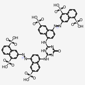 O=c1nc(Nc2ccc(/N=N/c3cc(S(=O)(=O)O)c4cccc(S(=O)(=O)O)c4c3)c3cc(S(=O)(=O)O)ccc23)[nH]c(Nc2ccc(/N=N/c3cc(S(=O)(=O)O)c4cccc(S(=O)(=O)O)c4c3)c3cc(S(=O)(=O)O)ccc23)n1